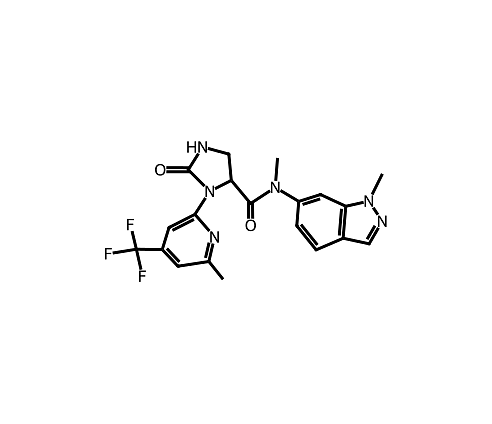 Cc1cc(C(F)(F)F)cc(N2C(=O)NCC2C(=O)N(C)c2ccc3cnn(C)c3c2)n1